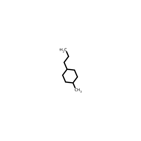 [CH2]CCC1CCC(C)CC1